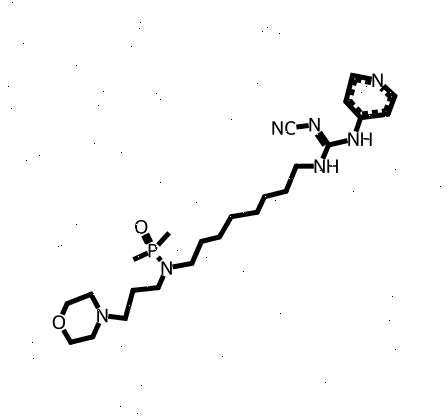 CP(C)(=O)N(CCCCCCCCNC(=NC#N)Nc1ccncc1)CCCN1CCOCC1